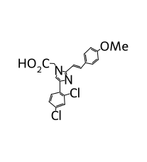 COc1ccc(C=Cc2nc(-c3ccc(Cl)cc3Cl)cn2CC(=O)O)cc1